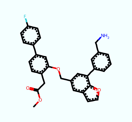 COC(=O)Cc1ccc(-c2ccc(F)cc2)cc1OCc1cc(-c2cccc(CN)c2)c2occc2c1